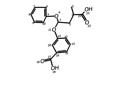 CC(CC(Oc1ccccc1)Oc1cccc(C(=O)O)c1)C(=O)O